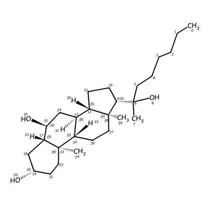 CCCCCCC(C)(O)[C@H]1CC[C@H]2[C@@H]3C[C@H](O)[C@H]4C[C@@H](O)CC[C@]4(C)[C@H]3CC[C@]12C